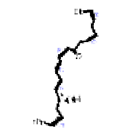 CC/C=C\C/C=C\CC(=O)\C=C/C=C/C=C/[C@@H](O)C/C=C\CCC